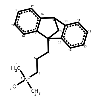 C[N+](C)([O-])CCCC12CC(c3ccccc31)c1ccccc12